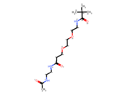 CC(=O)NCCNC(=O)CCOCCOCCNC(=O)C(C)(C)C